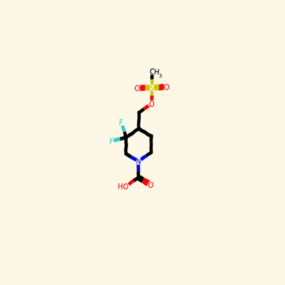 CS(=O)(=O)OCC1CCN(C(=O)O)CC1(F)F